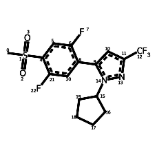 CS(=O)(=O)c1cc(F)c(-c2cc(C(F)(F)F)nn2C2CCCC2)cc1F